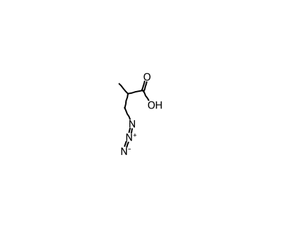 CC(CN=[N+]=[N-])C(=O)O